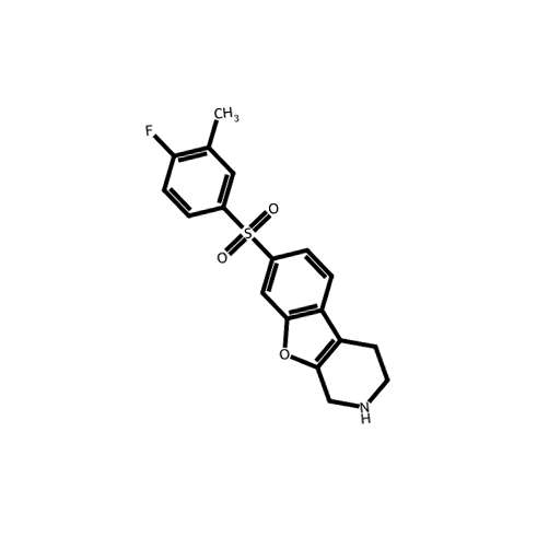 Cc1cc(S(=O)(=O)c2ccc3c4c(oc3c2)CNCC4)ccc1F